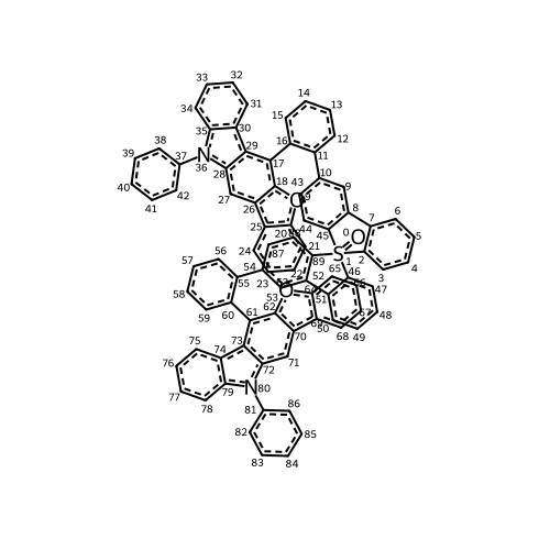 O=S12(c3ccccc3-c3cc(-c4ccccc4-c4c5oc6ccccc6c5cc5c4c4ccccc4n5-c4ccccc4)ccc31)c1ccccc1-c1cc(-c3ccccc3-c3c4oc5ccccc5c4cc4c3c3ccccc3n4-c3ccccc3)ccc12